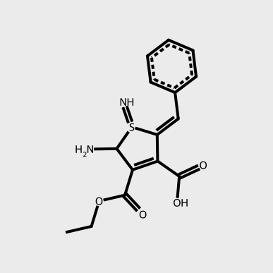 CCOC(=O)C1=C(C(=O)O)C(=Cc2ccccc2)S(=N)C1N